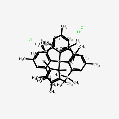 CC1=C(C)C(C)([Si](c2c([Si](C)(C)C)cc(C)cc2[Si](C)(C)C)(c2c([Si](C)(C)C)cc(C)cc2[Si](C)(C)C)c2c([Si](C)(C)C)cc(C)cc2[Si](C)(C)C)[C]([Ti+3])=C1C.[Cl-].[Cl-].[Cl-]